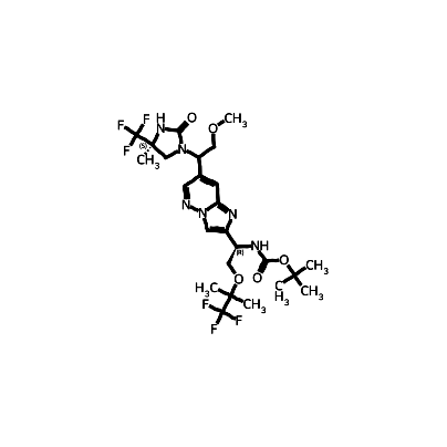 COCC(c1cnn2cc([C@H](COC(C)(C)C(F)(F)F)NC(=O)OC(C)(C)C)nc2c1)N1C[C@@](C)(C(F)(F)F)NC1=O